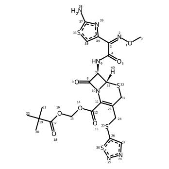 CO/N=C(\C(=O)N[C@@H]1C(=O)N2C(C(=O)OCOC(=O)C(C)(C)C)=C(CSc3cnns3)CS[C@@H]12)c1csc(N)n1